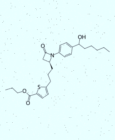 CCCCCC(O)c1ccc(N2C(=O)C[C@@H]2CCCc2ccc(C(=O)OCCC)s2)cc1